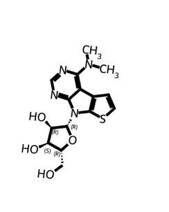 CN(C)c1ncnc2c1c1ccsc1n2[C@@H]1O[C@H](CO)[C@@H](O)[C@H]1O